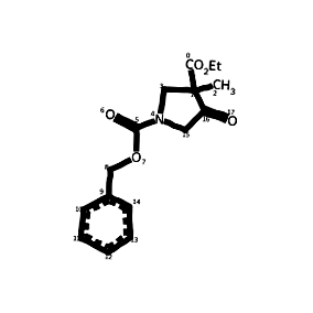 CCOC(=O)C1(C)CN(C(=O)OCc2ccccc2)CC1=O